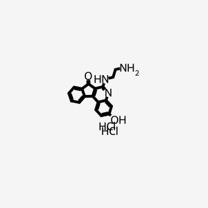 Cl.Cl.NCCNc1nc2cc(O)ccc2c2c1C(=O)c1ccccc1-2